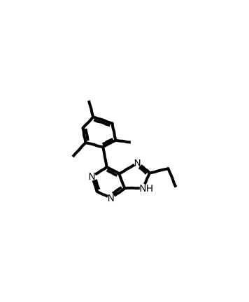 CCc1nc2c(-c3c(C)cc(C)cc3C)ncnc2[nH]1